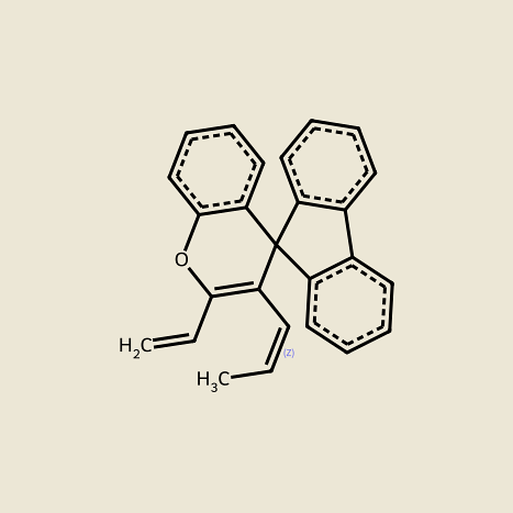 C=CC1=C(/C=C\C)C2(c3ccccc3O1)c1ccccc1-c1ccccc12